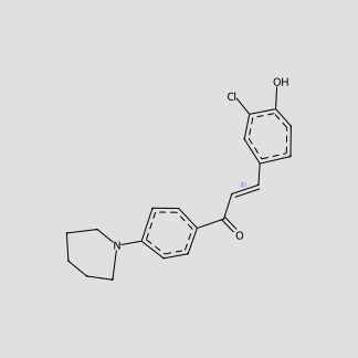 O=C(/C=C/c1ccc(O)c(Cl)c1)c1ccc(N2CCCCC2)cc1